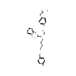 CCOC(Cc1ccc(OCCN(CCCCOCc2ccc(F)cc2)C(=O)Oc2ccccc2C(F)(F)F)cc1)C(=O)O